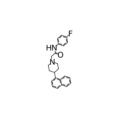 O=C(CN1CCC(c2cccc3ccccc23)CC1)Nc1ccc(F)cc1